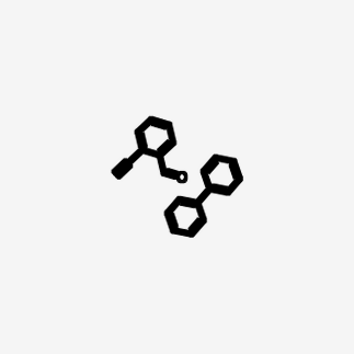 C#Cc1ccccc1C=O.c1ccc(-c2ccccc2)cc1